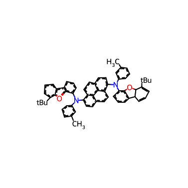 Cc1cccc(N(c2cccc3c2OC2C(C(C)(C)C)=CC=CC32)c2ccc3ccc4c(N(c5cccc(C)c5)c5cccc6c5oc5c(C(C)(C)C)cccc56)ccc5ccc2c3c54)c1